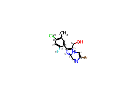 Cc1cc(-c2nc3cnc(Br)cn3c2CO)c(F)cc1Cl